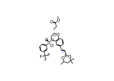 COC(=O)CC[C@H]1CN(S(=O)(=O)c2cccc(C(F)(F)F)c2)c2cc(/C=C/B3OC(C)CC(C)(C)O3)ccc2O1